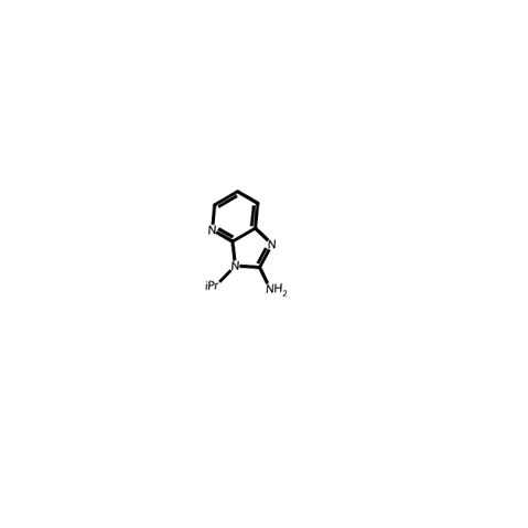 CC(C)n1c(N)nc2cccnc21